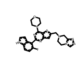 Fc1ccc2[nH]ccc2c1-c1nc(N2CCOCC2)c2sc(CN3CCn4cnnc4C3)cc2n1